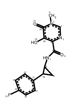 Cn1cnc(C(=O)NC2CC2c2ccc(F)cc2)c(O)c1=O